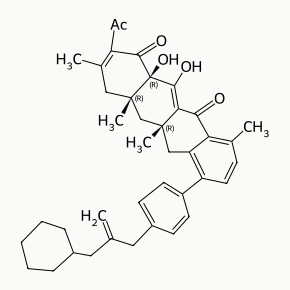 C=C(Cc1ccc(-c2ccc(C)c3c2C[C@]2(C)C[C@]4(C)CC(C)=C(C(C)=O)C(=O)[C@]4(O)C(O)=C2C3=O)cc1)CC1CCCCC1